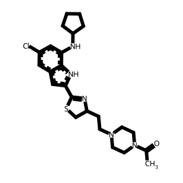 CC(=O)N1CCN(CCC2CSC(c3cc4cc(Cl)cc(NC5CCCC5)c4[nH]3)=N2)CC1